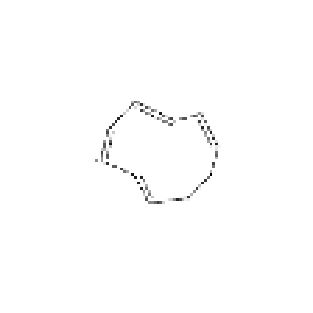 [C]1=C\C=C\C=C/CC/C=C/1